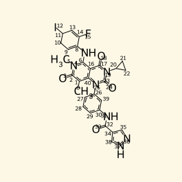 Cc1c(=O)n(C)c(NC2=CCC(I)C=C2F)c2c(=O)n(C3CC3)c(=O)n(-c3cccc(NC(=O)c4cn[nH]c4)c3)c12